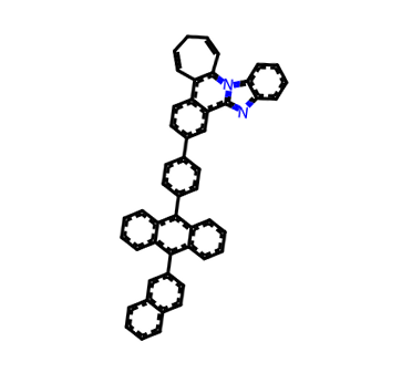 C1=Cc2c(n3c4ccccc4nc3c3cc(-c4ccc(-c5c6ccccc6c(-c6ccc7ccccc7c6)c6ccccc56)cc4)ccc23)C=CC1